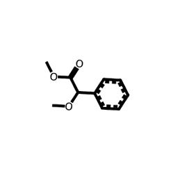 COC(=O)C(OC)c1ccccc1